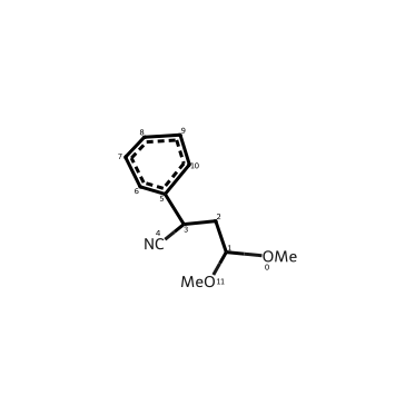 COC(CC(C#N)c1ccccc1)OC